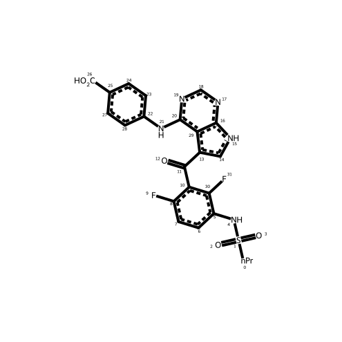 CCCS(=O)(=O)Nc1ccc(F)c(C(=O)c2c[nH]c3ncnc(Nc4ccc(C(=O)O)cc4)c23)c1F